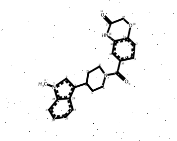 Cn1cc(C2CCN(C(=O)c3ccc4c(c3)NC(=O)CO4)CC2)c2ccccc21